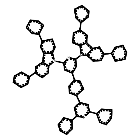 c1ccc(-c2ccc3c(c2)c2cc(-c4ccccc4)ccc2n3-c2cc(-c3ccc(-c4cc(-c5ccccc5)nc(-c5ccccc5)c4)cc3)cc(-n3c4ccc(-c5ccccc5)cc4c4cc(-c5ccccc5)ccc43)n2)cc1